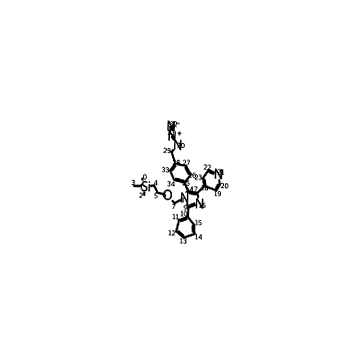 C[Si](C)(C)CCOCn1c(-c2ccccc2)nc(-c2ccncc2)c1-c1ccc(CN=[N+]=[N-])cc1